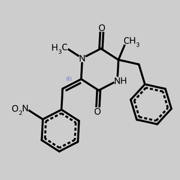 CN1C(=O)C(C)(Cc2ccccc2)NC(=O)/C1=C\c1ccccc1[N+](=O)[O-]